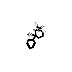 CC1(c2ccccc2)CCOS(=O)(=O)C1